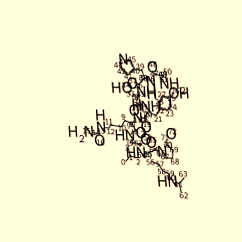 CC(C)C[C@H](NC(=O)[C@@H](CCCCNC(N)=O)NC(=O)[C@H](Cc1ccc(O)cc1)NC(=O)[C@H](CO)NC(=O)[C@@H](Cc1cccnc1)NC(=O)[C@H](C)N)C(=O)N[C@@H](CCCCNC(C)C)C(=O)N1CCC[C@H]1[C]=O